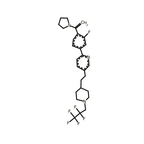 C=C(c1ccc(-c2ccc(CCC3CCN(CC(F)(F)C(F)(F)F)CC3)cn2)cc1F)N1CCCC1